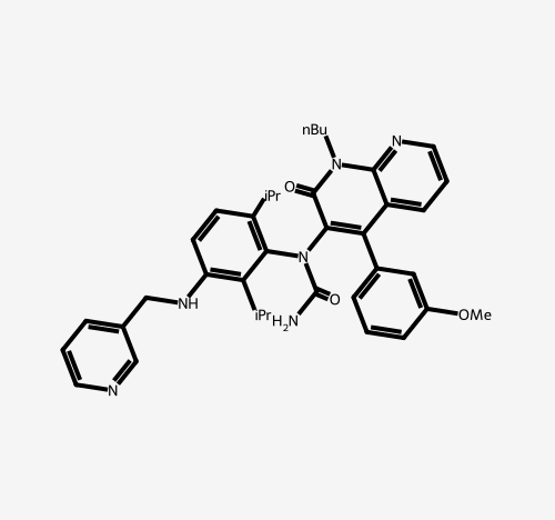 CCCCn1c(=O)c(N(C(N)=O)c2c(C(C)C)ccc(NCc3cccnc3)c2C(C)C)c(-c2cccc(OC)c2)c2cccnc21